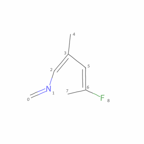 C=N/C=C(C)\C=C(/C)F